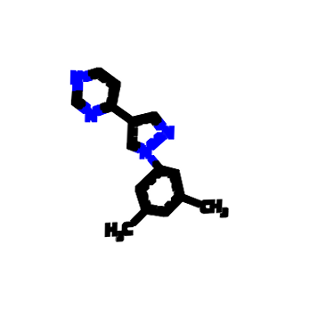 Cc1cc(C)cc(-n2cc(-c3ccncn3)cn2)c1